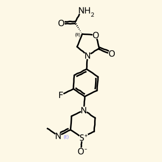 C/N=C1\CN(c2ccc(N3C[C@H](C(N)=O)OC3=O)cc2F)CC[S+]1[O-]